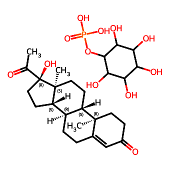 CC(=O)[C@@]1(O)CC[C@H]2[C@@H]3CCC4=CC(=O)CC[C@]4(C)[C@H]3CC[C@@]21C.O=P(O)(O)OC1C(O)C(O)C(O)C(O)C1O